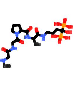 CCCCC(NC(=O)C1CCCN1C(=O)CNC(=O)CNC=O)C(=O)NCCCC(O)(P(=O)(O)O)P(=O)(O)O